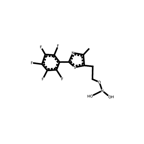 Cc1nc(-c2c(F)c(F)c(F)c(F)c2F)sc1CCON(O)O